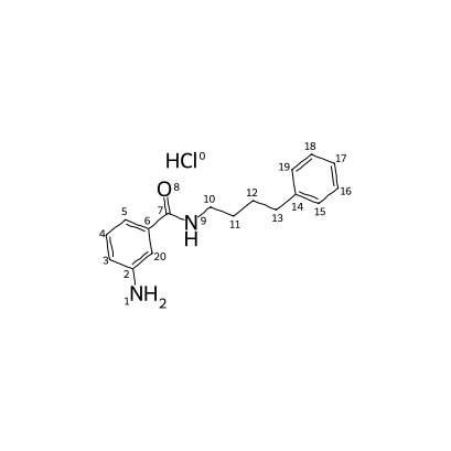 Cl.Nc1cccc(C(=O)NCCCCc2ccccc2)c1